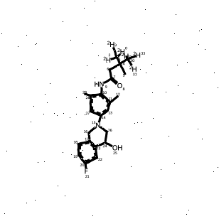 [2H]C([2H])([2H])C(C)(CC(=O)Nc1c(C)cc(N2Cc3ccc(F)cc3C(O)C2)cc1C)C([2H])([2H])[2H]